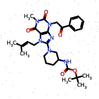 CC(C)=CCn1c(N2CCCC(NC(=O)OC(C)(C)C)C2)nc2c1c(=O)n(C)c(=O)n2CC(=O)c1ccccc1